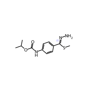 CS/C(=N\N)c1ccc(NC(=O)OC(C)C)cc1